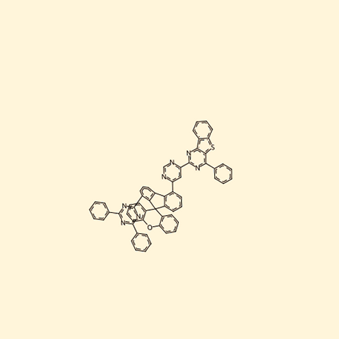 c1ccc(-c2nc(-c3ccccc3)nc(-c3cccc4c3C3(c5ccccc5Oc5ccccc53)c3cccc(-c5cc(-c6nc(-c7ccccc7)c7sc8ccccc8c7n6)ncn5)c3-4)n2)cc1